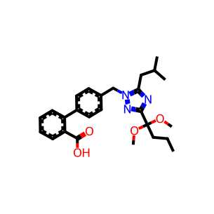 CCCC(OC)(OC)c1nc(CC(C)C)n(Cc2ccc(-c3ccccc3C(=O)O)cc2)n1